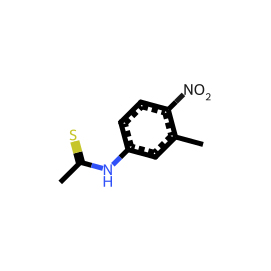 CC(=S)Nc1ccc([N+](=O)[O-])c(C)c1